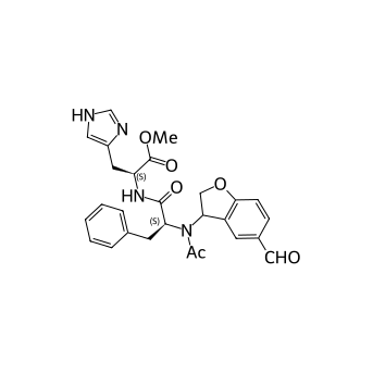 COC(=O)[C@H](Cc1c[nH]cn1)NC(=O)[C@H](Cc1ccccc1)N(C(C)=O)C1COc2ccc(C=O)cc21